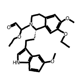 CCOc1cc2c(cc1OC)CCN(C(C=O)OCC)[C@H]2CCc1c[nH]c2ccc(OC)cc12